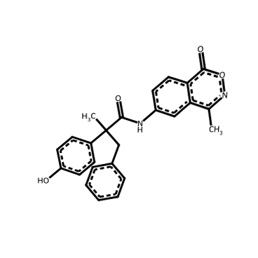 Cc1noc(=O)c2ccc(NC(=O)C(C)(Cc3ccccc3)c3ccc(O)cc3)cc12